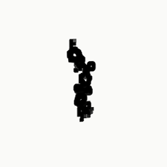 Cn1c(C(=O)N2CCC(S(=O)(=O)c3cccc(OC(F)(F)F)c3)CC2)cc2cc(F)ccc21